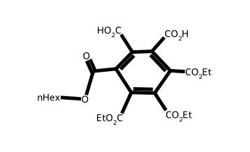 CCCCCCOC(=O)c1c(C(=O)O)c(C(=O)O)c(C(=O)OCC)c(C(=O)OCC)c1C(=O)OCC